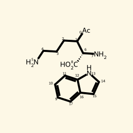 CC(=O)C(CCCN)[C@H](N)C(=O)O.c1ccc2[nH]ccc2c1